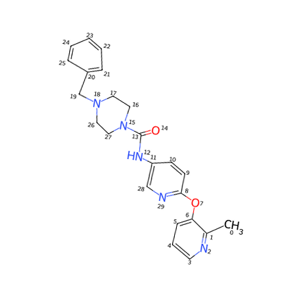 Cc1ncccc1Oc1ccc(NC(=O)N2CCN(Cc3ccccc3)CC2)cn1